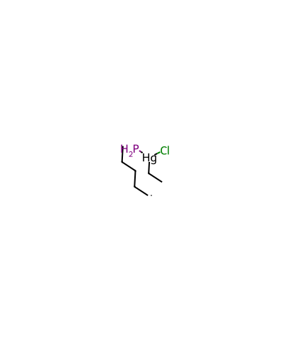 C[CH2][Hg]([PH2])[Cl].[CH2]CCCC